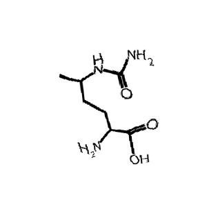 CC(CCC(N)C(=O)O)NC(N)=O